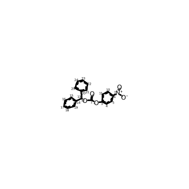 O=C(Oc1ccc([N+](=O)[O-])cc1)OC(c1ccccc1)c1ccccc1